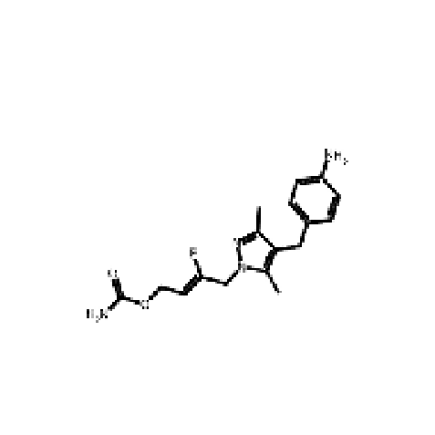 Cc1nn(CC(F)=CCOC(N)=O)c(C)c1Cc1ccc(N)cc1